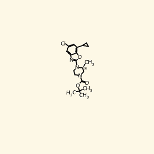 C[C@H]1CN(C(=O)OC(C)(C)C)CCN1c1nc2cc(Cl)cc(C3CC3)c2o1